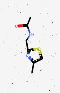 [CH2]c1csc(CNC(C)=O)n1